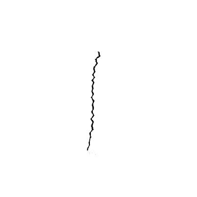 CCCCCCCCCCCCCCCCCCCCCCCCCCCCCCCCCCCCCCCC(=O)OCC